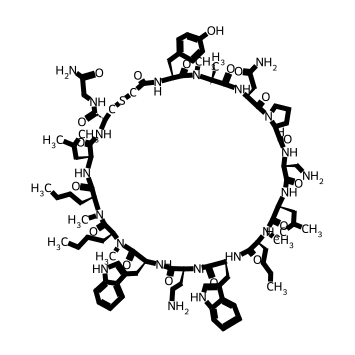 CCCC[C@H]1C(=O)N[C@@H](Cc2c[nH]c3ccccc23)C(=O)N[C@@H](CCN)C(=O)N[C@@H](Cc2c[nH]c3ccccc23)C(=O)N(C)[C@@H](CCCC)C(=O)N(C)[C@@H](CCCC)C(=O)N[C@@H](CC(C)C)C(=O)N[C@H](C(=O)NCC(N)=O)CSCC(=O)N[C@@H](Cc2ccc(O)cc2)C(=O)N(C)[C@@H](C)C(=O)N[C@@H](CC(N)=O)C(=O)N2CCC[C@H]2C(=O)N[C@@H](CN)C(=O)N[C@@H](CC(C)C)C(=O)N1C